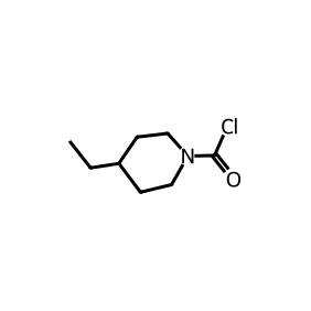 CCC1CCN(C(=O)Cl)CC1